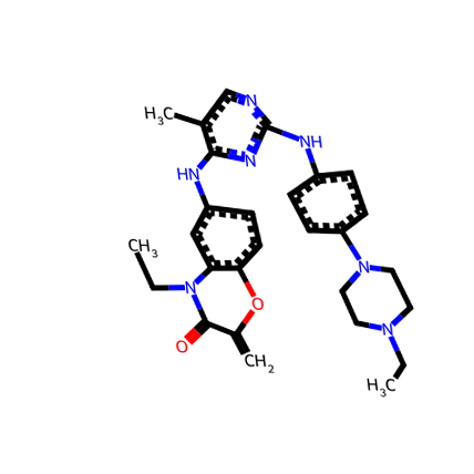 C=C1Oc2ccc(Nc3nc(Nc4ccc(N5CCN(CC)CC5)cc4)ncc3C)cc2N(CC)C1=O